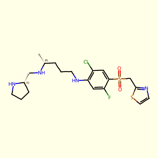 C[C@H](CCCNc1cc(F)c(S(=O)(=O)Cc2nccs2)cc1Cl)NC[C@@H]1CCCN1